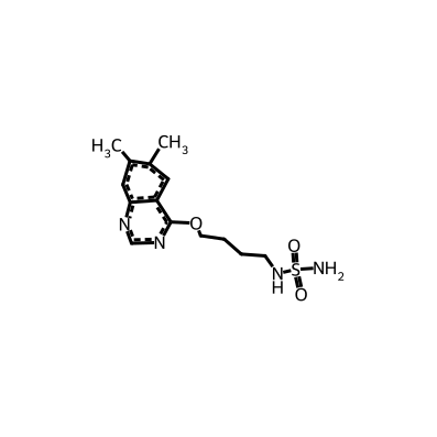 Cc1cc2ncnc(OCCCCNS(N)(=O)=O)c2cc1C